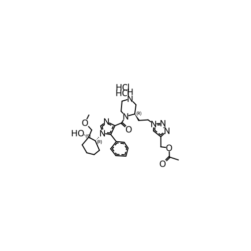 COC[C@]1(O)CCCC[C@H]1n1cnc(C(=O)N2CCNC[C@H]2CCn2cc(COC(C)=O)nn2)c1-c1ccccc1.Cl.Cl